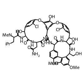 CNC(CC(C)C)C(=O)NC1C(=O)NC(CC(N)=O)C(=O)NC2C(=S)NC3C(=O)NC(C(=O)NC(CO)c4cc(OC)cc(OC)c4-c4cc3ccc4O)C(O)c3ccc(c(Cl)c3)Oc3cc2cc(c3O)Oc2ccc(cc2Cl)C1O